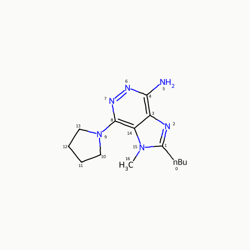 CCCCc1nc2c(N)nnc(N3CCCC3)c2n1C